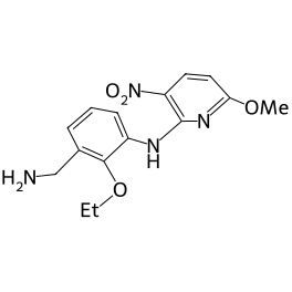 CCOc1c(CN)cccc1Nc1nc(OC)ccc1[N+](=O)[O-]